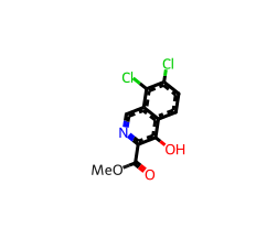 COC(=O)c1ncc2c(Cl)c(Cl)ccc2c1O